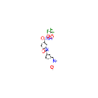 COCCN(C)Cc1cccc(-c2nc3cc(C(=O)NOC(=O)C(F)(F)F)ccc3o2)c1